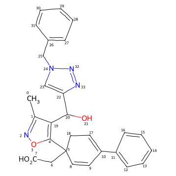 Cc1noc(C2(CC(=O)O)C=CC(c3ccccc3)=CC2)c1C(O)c1cn(Cc2ccccc2)nn1